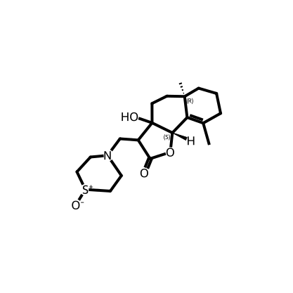 CC1=C2[C@@H]3OC(=O)C(CN4CC[S+]([O-])CC4)C3(O)CC[C@@]2(C)CCC1